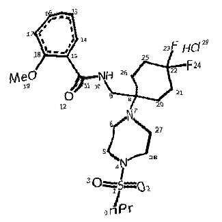 CCCS(=O)(=O)N1CCN(C2(CNC(=O)c3ccccc3OC)CCC(F)(F)CC2)CC1.Cl